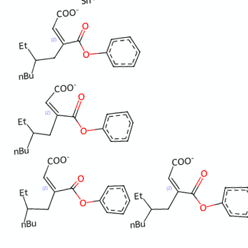 CCCCC(CC)C/C(=C/C(=O)[O-])C(=O)Oc1ccccc1.CCCCC(CC)C/C(=C/C(=O)[O-])C(=O)Oc1ccccc1.CCCCC(CC)C/C(=C/C(=O)[O-])C(=O)Oc1ccccc1.CCCCC(CC)C/C(=C/C(=O)[O-])C(=O)Oc1ccccc1.[Sn+4]